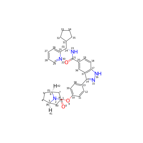 O=CN1[C@@H]2CC[C@H]1CC(Oc1ccc(-c3n[nH]c4ccc(C(=O)N[C@H](c5ccccn5)C5CCCC5)cc34)cc1)C2